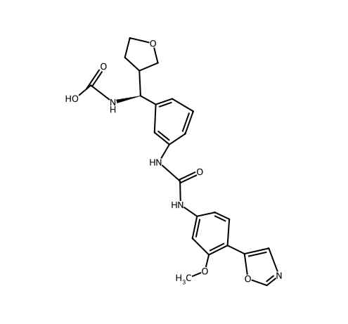 COc1cc(NC(=O)Nc2cccc([C@@H](NC(=O)O)C3CCOC3)c2)ccc1-c1cnco1